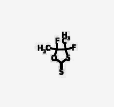 CC1(F)OC(=S)SC1(C)F